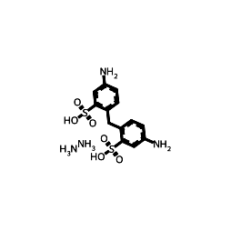 N.N.Nc1ccc(Cc2ccc(N)cc2S(=O)(=O)O)c(S(=O)(=O)O)c1